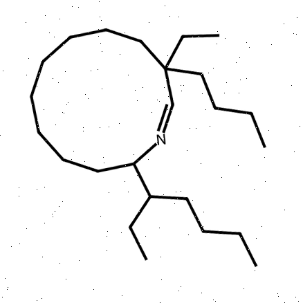 CCCCC(CC)C1CCCCCCCCC(CC)(CCCC)C=N1